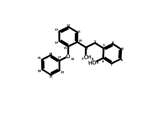 CC(Cc1ccccc1O)c1ccccc1Oc1ccccc1